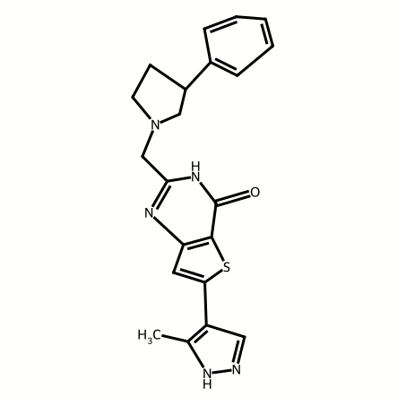 Cc1[nH]ncc1-c1cc2nc(CN3CCC(c4ccccc4)C3)[nH]c(=O)c2s1